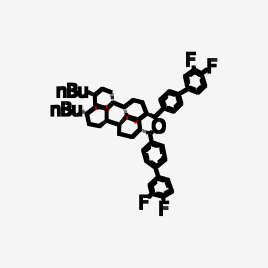 CCCC[C@H]1CC[C@H]([C@H]2CC[C@H](C(OC(c3ccc(-c4ccc(F)c(F)c4)cc3)[C@H]3CC[C@H]([C@H]4CC[C@H](CCCC)CC4)CC3)c3ccc(-c4ccc(F)c(F)c4)cc3)CC2)CC1